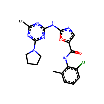 CCc1nc(Nc2ncc(C(=O)Nc3c(C)cccc3Cl)o2)nc(N2CCCC2)n1